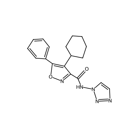 O=C(Nn1ccnn1)c1noc(-c2ccccc2)c1C1CCCCC1